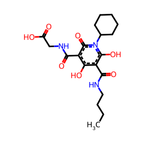 CCCCNC(=O)c1c(O)c(C(=O)NCC(=O)O)c(=O)n(C2CCCCC2)c1O